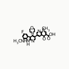 CNc1cc(F)cc2c1[nH]c1ncc(-c3cnc4c(c3)c(=O)c(C(=O)O)cn4C)c(N3CCOCC3)c12